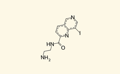 NCCNC(=O)c1ccc2cncc(I)c2n1